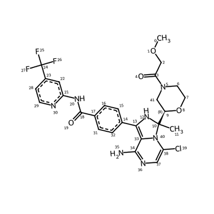 COCC(=O)N1CCO[C@@H](C2(C)NC(c3ccc(C(=O)Nc4cc(C(F)(F)F)ccn4)cc3)=C3C(N)=NC=C(Cl)N32)C1